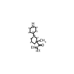 CCN(CC)C(=O)C1(C)CCCN(C2CCNCC2)C1